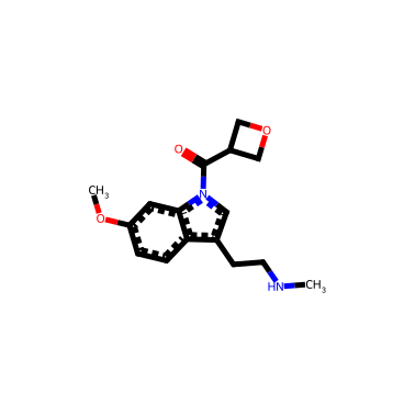 CNCCc1cn(C(=O)C2COC2)c2cc(OC)ccc12